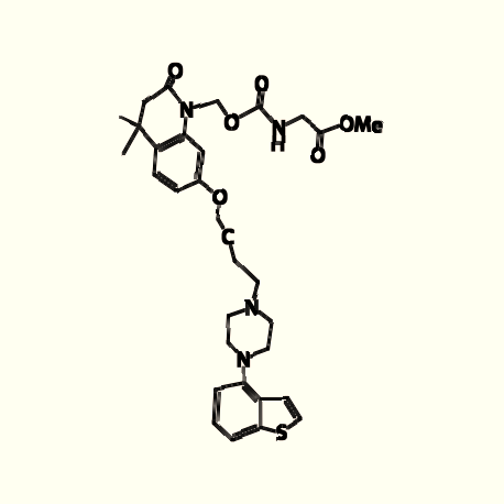 COC(=O)CNC(=O)OCN1C(=O)CC(C)(C)c2ccc(OCCCCN3CCN(c4cccc5sccc45)CC3)cc21